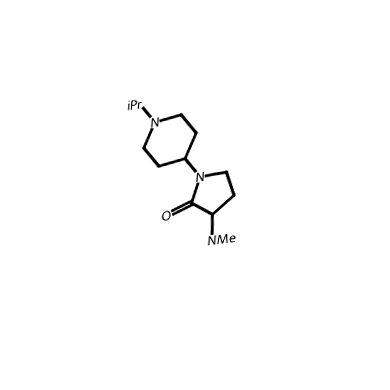 CNC1CCN(C2CCN(C(C)C)CC2)C1=O